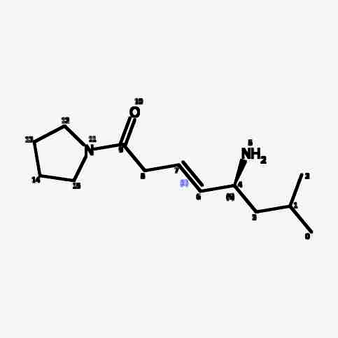 CC(C)C[C@H](N)/C=C/CC(=O)N1CCCC1